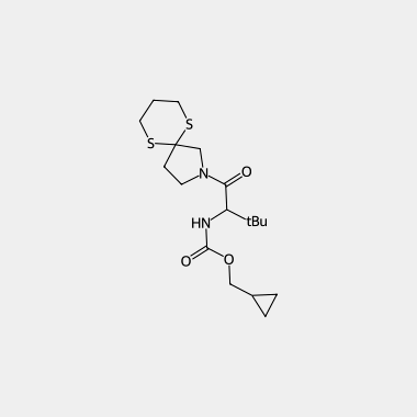 CC(C)(C)C(NC(=O)OCC1CC1)C(=O)N1CCC2(C1)SCCCS2